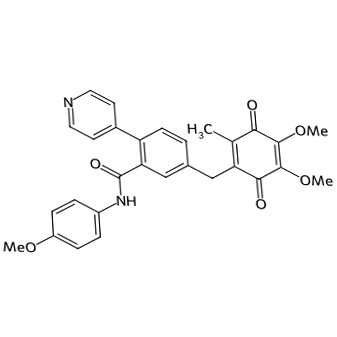 COC1=C(OC)C(=O)C(Cc2ccc(-c3ccncc3)c(C(=O)Nc3ccc(OC)cc3)c2)=C(C)C1=O